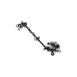 CCC[C@H](NC(=O)[C@@H]1C2CCC[C@H]2CN1C(=O)[C@@H](NC(=O)[C@@H](NC(=O)c1cnc(C(=O)NCCCCCCCCNC(=O)CCOCCOCCOCCOCCNc2cccc3c2CN(C2CCC(=O)NC2=O)C3=O)cn1)C1CCCCC1)C(C)(C)C)C(=O)C(=O)NC1CC1